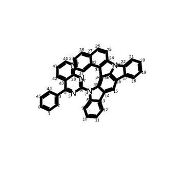 c1ccc(-c2nc(-n3c4ccccc4c4cc5c6ccccc6n6c7ccc8ccccc8c7c(c43)c56)nc3ncccc23)cc1